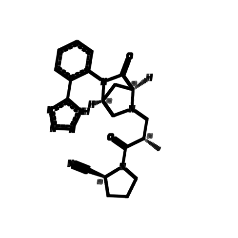 C[C@@H](CN1C[C@@H]2C[C@H]1C(=O)N2c1ccccc1-c1nnn[nH]1)C(=O)N1CCC[C@H]1C#N